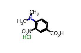 CN(C)c1ccc(C(=O)O)cc1[N+](=O)[O-].Cl